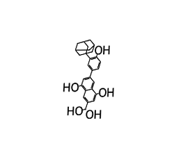 Oc1ccc(-c2cc(O)c3cc(C(O)O)cc(O)c3c2)cc1C12CC3CC(CC(C3)C1)C2